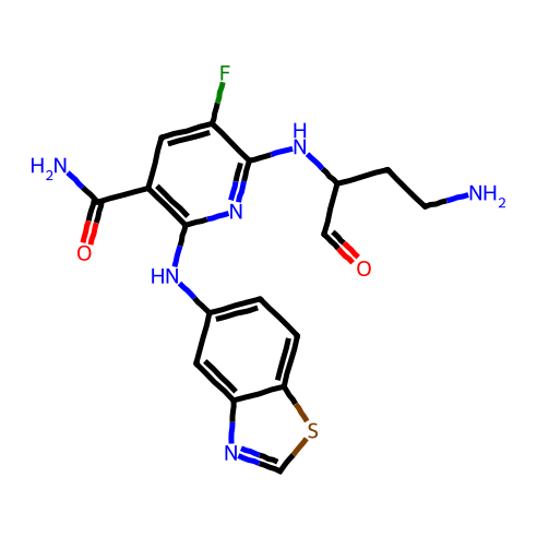 NCCC(C=O)Nc1nc(Nc2ccc3scnc3c2)c(C(N)=O)cc1F